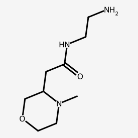 CN1CCOCC1CC(=O)NCCN